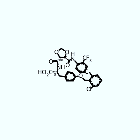 O=C(O)[C@H](Cc1ccc(OCc2c(Cl)cccc2Cl)cc1)NC(=O)[C@@H]1OCO[C@H]1C(=O)Nc1ccccc1C(F)(F)F